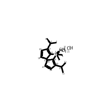 CC(C)C1=[C]([Ti]([CH3])([CH3])(=[SiH2])[C]2=C(C(C)C)C=CC2)CC=C1.Cl.Cl